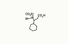 CCOC(=O)N(C(C)C)C(CC(=O)O)C1CCCCC1